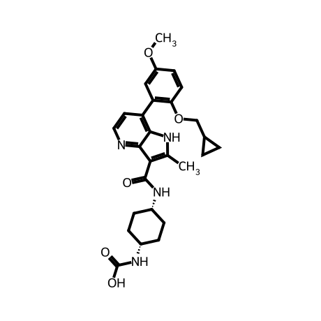 COc1ccc(OCC2CC2)c(-c2ccnc3c(C(=O)N[C@H]4CC[C@@H](NC(=O)O)CC4)c(C)[nH]c23)c1